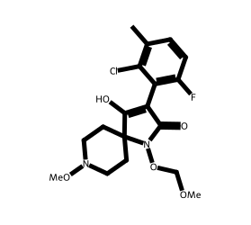 COCON1C(=O)C(c2c(F)ccc(C)c2Cl)=C(O)C12CCN(OC)CC2